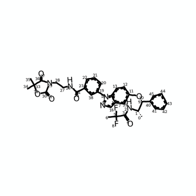 C[C@H](NC(=O)C(C)(F)F)[C@H](Oc1ccc2c(cnn2-c2cccc(C(=O)NCCN3C(=O)OC(C)(C)C3=O)c2)c1)c1ccccc1